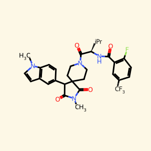 CC(C)[C@@H](NC(=O)c1cc(C(F)(F)F)ccc1F)C(=O)N1CCC2(CC1)C(=O)N(C)C(=O)C2c1ccc2c(ccn2C)c1